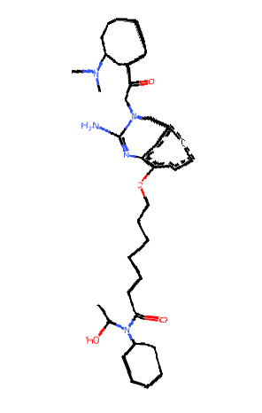 CC(O)N(C(=O)CCCCCCOc1cccc2c1N=C(N)N(CC(=O)C1CCCCC1N(C)C)C2)C1CCCCC1